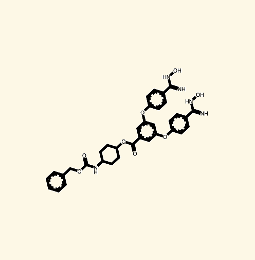 N=C(NO)c1ccc(Oc2cc(Oc3ccc(C(=N)NO)cc3)cc(C(=O)OC3CCC(NC(=O)OCc4ccccc4)CC3)c2)cc1